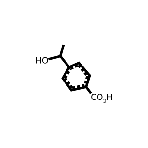 CC(O)c1ccc(C(=O)O)cc1